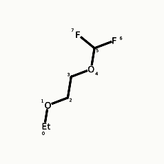 [CH2]COCCOC(F)F